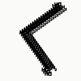 Cl.Cl.Cl.Cl.Cl.[MgH2].[MgH2].[MgH2].[MgH2].[MgH2].[MgH2].[MgH2].[MgH2].[MgH2].[MgH2].[MgH2].[MgH2].[MgH2].[MgH2].[MgH2].[MgH2].[MgH2].[MgH2].[MgH2].[MgH2].[MgH2].[MgH2].[MgH2].[MgH2].[MgH2].[MgH2].[MgH2].[MgH2].[MgH2].[MgH2].[MgH2].[MgH2].[MgH2].[MgH2].[MgH2]